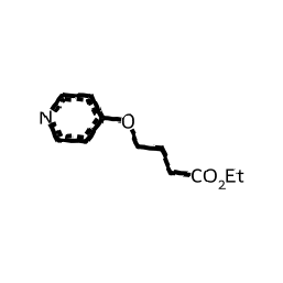 CCOC(=O)CCCOc1ccncc1